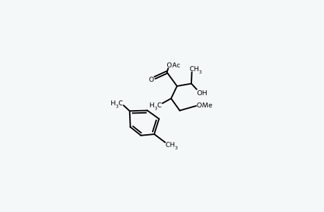 COCC(C)C(C(=O)OC(C)=O)C(C)O.Cc1ccc(C)cc1